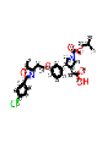 Cc1oc(-c2ccc(Cl)cc2)nc1CCOc1cccc([C@@H]2CN(C(=O)OCC(C)C)C[C@@H]2CC(=O)O)c1